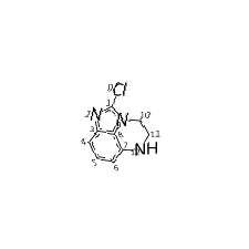 Clc1nc2cccc3c2n1CCN3